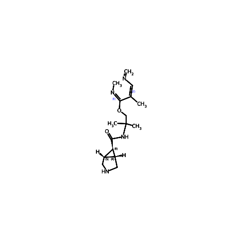 C=N/C=C(C)\C(=N/C)OCC(C)(C)NC(=O)[C@H]1[C@@H]2CNC[C@@H]21